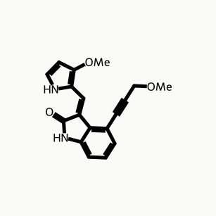 COCC#Cc1cccc2c1C(=Cc1[nH]ccc1OC)C(=O)N2